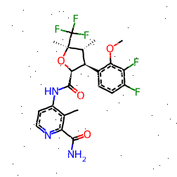 COc1c([C@H]2[C@@H](C(=O)Nc3ccnc(C(N)=O)c3C)O[C@@](C)(C(F)(F)F)[C@@H]2C)ccc(F)c1F